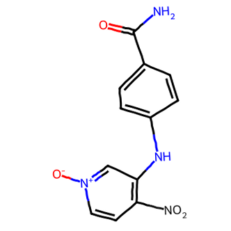 NC(=O)c1ccc(Nc2c[n+]([O-])ccc2[N+](=O)[O-])cc1